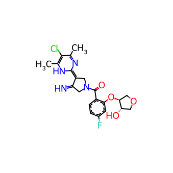 CC1=N/C(=C2\CN(C(=O)c3ccc(F)cc3O[C@H]3COC[C@@H]3O)CC2=N)NC(C)=C1Cl